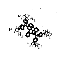 CC(C)(C)c1ccc(N(c2ccc(C(C)(C)C)cc2)c2cc3c4ccccc4c4cc(N(c5ccc(C(C)(C)C)cc5)c5ccc(C(C)(C)C)cc5)c5ccccc5c4c3c3ccccc23)cc1